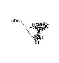 CCCCCCCCCCCCCCCCCCCCCCCCCCCCC#CC(=Nc1cc(CC)cc(CC)c1)C(CCCC)=Nc1cc(CC)cc(CC)c1.CCCc1ccc(O)c(O)c1C(=O)[O-].CCCc1ccc(O)c(O)c1C(=O)[O-].[Ni+2]